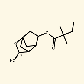 CCC(C)(C)C(=O)OC1CC23CC1C(C2)[C@@H](O)O3